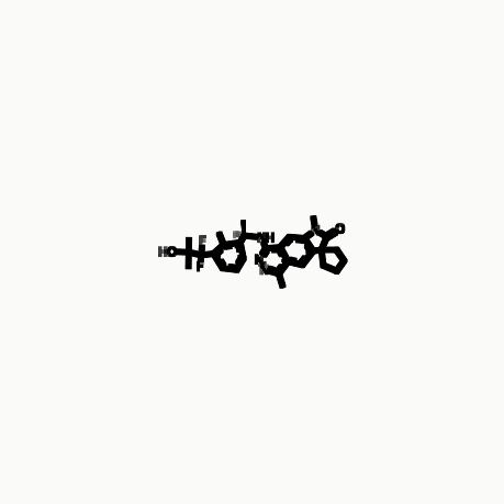 Cc1c([C@@H](C)Nc2nnc(C)c3cc4c(cc23)N(C)C(=O)C42CCCC2)cccc1C(F)(F)C(C)(C)O